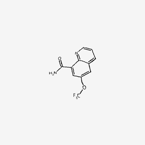 NC(=O)c1cc(OC(F)(F)F)cc2cccnc12